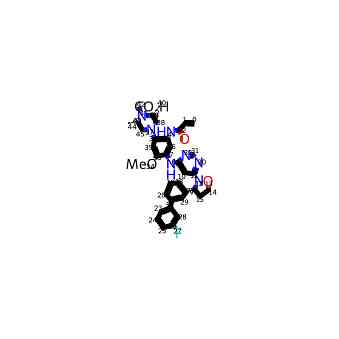 C=CC(=O)Nc1cc(Nc2cc(N3OCC[C@@H]3c3cccc(-c4cccc(F)c4)c3)ncn2)c(OC)cc1N1C[C@@H](C)N(C(=O)O)[C@@H](C)C1